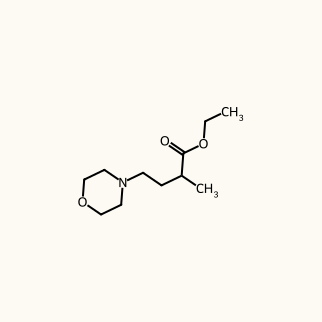 CCOC(=O)C(C)CCN1CCOCC1